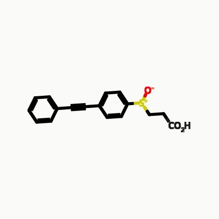 O=C(O)CC[S+]([O-])c1ccc(C#Cc2ccccc2)cc1